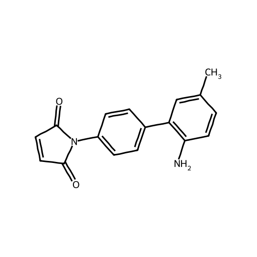 Cc1ccc(N)c(-c2ccc(N3C(=O)C=CC3=O)cc2)c1